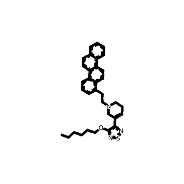 CCCCCCOc1nsnc1C1=CCCN(CCc2cccc3c2ccc2c4ccccc4ccc32)C1